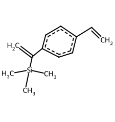 C=Cc1ccc(C(=C)[Si](C)(C)C)cc1